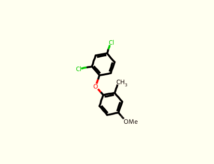 COc1ccc(Oc2ccc(Cl)cc2Cl)c(C)c1